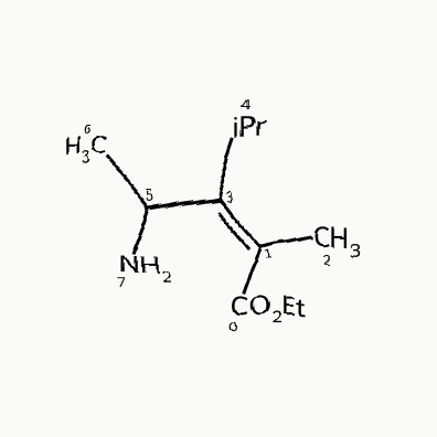 CCOC(=O)C(C)=C(C(C)C)C(C)N